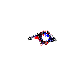 C[C@@H](/C=C/C=C/C=C/c1ccccc1)[C@H](O)[C@@H](O)[C@H]1NC(=O)C[C@@H](O)CNC(=O)CNC(=O)[C@@H](Cc2c[nH]c3ccccc23)NC(=O)CN(C)C(=O)C[C@]2(O)NC(=O)C[C@H]2NC(=O)[C@H]1O